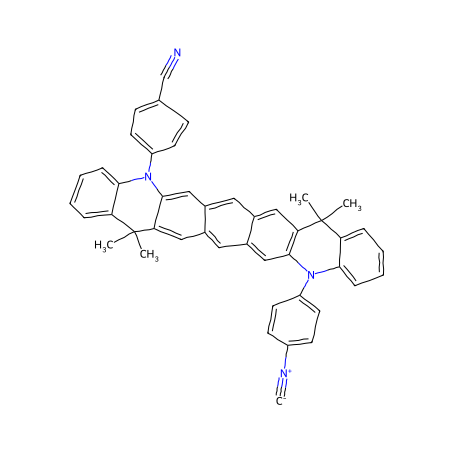 [C-]#[N+]c1ccc(N2c3ccccc3C(C)(C)c3cc4cc5cc6c(cc5cc4cc32)C(C)(C)c2ccccc2N6c2ccc(C#N)cc2)cc1